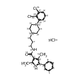 Cc1[nH]c(-c2ccccc2)c(C)c1C(=O)NCCCN1CCN(c2cccc(Cl)c2Cl)CC1.Cl